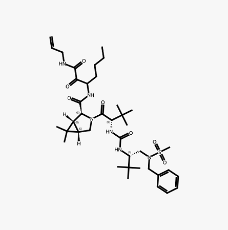 C=CCNC(=O)C(=O)C(CCCC)NC(=O)[C@@H]1[C@@H]2[C@H](CN1C(=O)[C@@H](NC(=O)N[C@H](CN(Cc1ccccc1)S(C)(=O)=O)C(C)(C)C)C(C)(C)C)C2(C)C